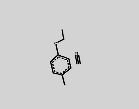 C#N.CCOc1ccc(C)cc1